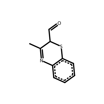 CC1=Nc2ccccc2SC1C=O